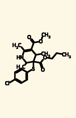 CCCOC(=O)C1(Sc2ccc(Cl)cc2)C(C)NC(C)=C(C(=O)OC)C1C